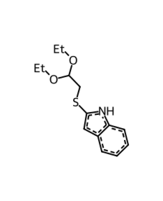 CCOC(CSc1cc2ccccc2[nH]1)OCC